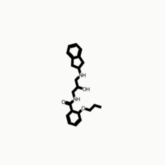 CCCOC1C=CC=CC1C(=O)NCC(O)CNC1Cc2ccccc2C1